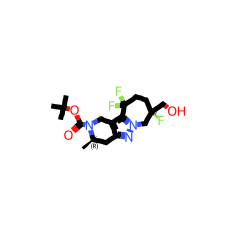 C[C@@H]1Cc2nn3c(c2CN1C(=O)OC(C)(C)C)C(F)(F)CC[C@](F)(CO)C3